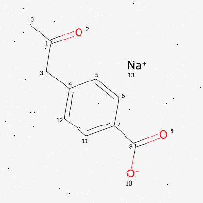 CC(=O)Cc1ccc(C(=O)[O-])cc1.[Na+]